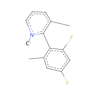 [CH2-][n+]1cccc(C)c1-c1c(C)cc(F)cc1F